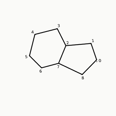 [CH]1CC2CCCCC2C1